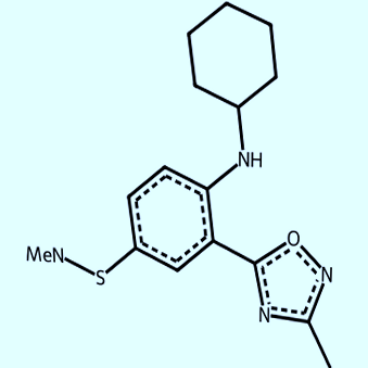 CNSc1ccc(NC2CCCCC2)c(-c2nc(C)no2)c1